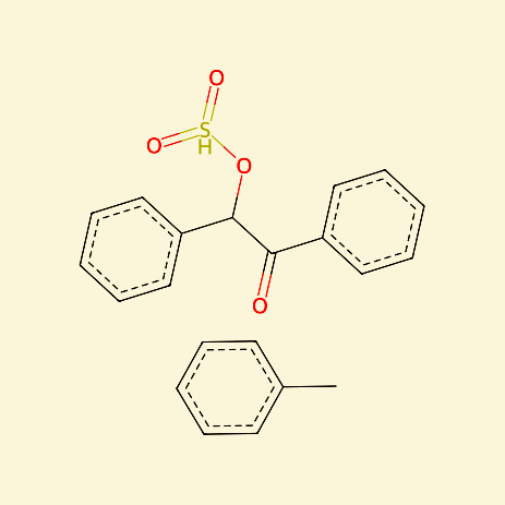 Cc1ccccc1.O=C(c1ccccc1)C(O[SH](=O)=O)c1ccccc1